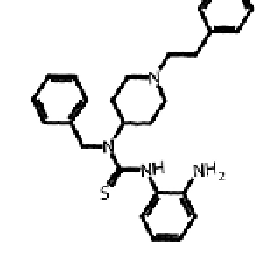 Nc1ccccc1NC(=S)N(Cc1ccccc1)C1CCN(CCc2ccccc2)CC1